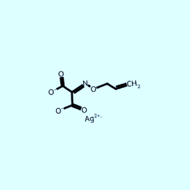 C=CCON=C(C(=O)[O-])C(=O)[O-].[Ag+2]